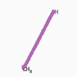 CP(#P)P=PP=PP=PP=PP=PP=PP=PP=PP=PP=PP=PP=PP=PP=PP=PP=PP=PP=PP=PP=PP=PP=PP=PP=PP=PP=PP=PP=PP=PP=PP=PP=P